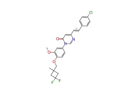 COc1cc(-n2cnc(/C=C/c3ccc(Cl)cc3)cc2=O)ccc1OCC1(C)CC(F)(F)C1